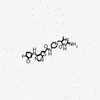 Cc1nc(N)[nH]c(=O)c1CN1CCC(NC(=O)c2cc3c(Nc4ccc(F)c(Cl)c4)ncnc3s2)CC1